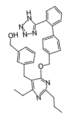 CCCc1nc(CC)c(Cc2cccc(CO)c2)c(OCc2ccc(-c3ccccc3-c3nnn[nH]3)cc2)n1